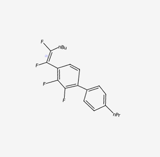 CCCC/C(F)=C(/F)c1ccc(-c2ccc(CCC)cc2)c(F)c1F